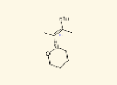 CCCC/C(C)=C(\C)[SiH]1CCCCO1